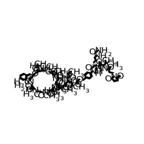 C=C1C(=O)N[C@@H](C)C(=O)N(C)[C@@H](C)C(=O)N[C@@H]([C@H](OC(=O)[C@@H](NC(=O)CC)[C@H](OC(=O)OCc2ccc(NC(=O)[C@H](CCCNC(N)=O)NC(=O)[C@@H](NC(=O)CCN3C(=O)C=CC3=O)C(C)C)cc2)C(C)C)C(C)C)C(=O)N(C)[C@@H]([C@@H](C)OC)C(=O)O[C@H](C(C)C)[C@H](NC(C)=O)C(=O)O[C@H](Cc2ccccc2)C(=O)N1C